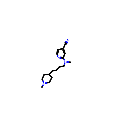 CN1CCC(CCCCN(C)c2cc(C#N)ccn2)CC1